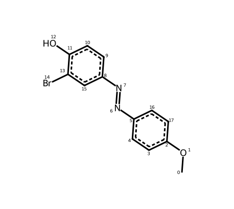 COc1ccc(N=Nc2ccc(O)c(Br)c2)cc1